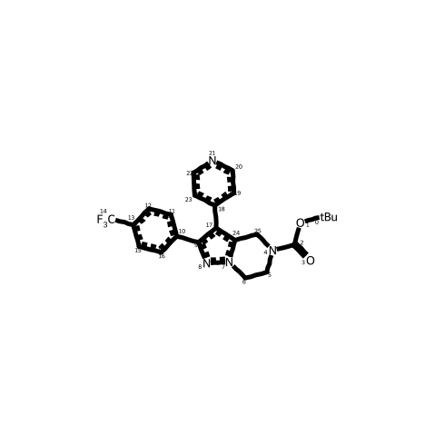 CC(C)(C)OC(=O)N1CCn2nc(-c3ccc(C(F)(F)F)cc3)c(-c3ccncc3)c2C1